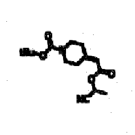 CC(C#N)OC(=O)C=C1CCN(C(=O)OC(C)(C)C)CC1